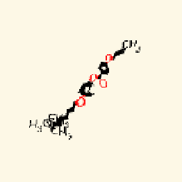 CCCCOc1ccc(C(=O)Oc2ccc(OCCCCCC[Si](C)(C)C)cc2)cc1